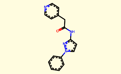 O=C(Cc1ccncc1)Nc1ccn(-c2ccccc2)n1